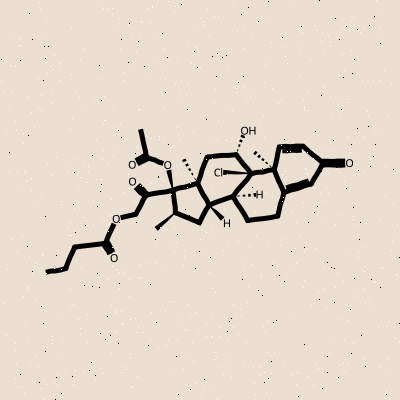 CCCC(=O)OCC(=O)[C@@]1(OC(C)=O)[C@H](C)C[C@H]2[C@@H]3CCC4=CC(=O)C=C[C@]4(C)[C@@]3(Cl)[C@@H](O)C[C@@]21C